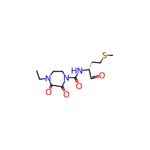 CCN1CCN(C(=O)N[C@@H](C=O)CCSC)C(=O)C1=O